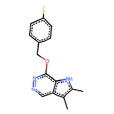 Cc1[nH]c2c(OCc3ccc(F)cc3)nncc2c1C